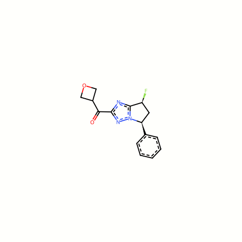 O=C(c1nc2n(n1)[C@H](c1ccccc1)C[C@@H]2F)C1COC1